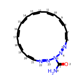 NC(=O)n1nnccccccccccccccccnn1